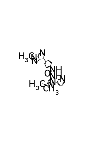 CC(C)c1cc(NC(=O)Nc2ccc(-c3cncc4c3cnn4C)cc2)n(-c2cccnc2)n1